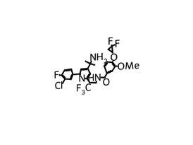 COc1cc(C(=O)NCC(c2cc(C(C)(C)N)cc(-c3ccc(F)c(Cl)c3)n2)C(F)(F)F)ccc1OC1CC1(F)F